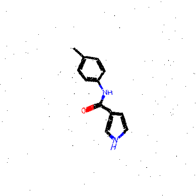 [CH2]c1ccc(NC(=O)c2cc[nH]c2)cc1